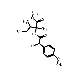 CCC(C)C(C)(NC(=O)C(Cl)c1ccc(OC)cc1)C(=O)OC